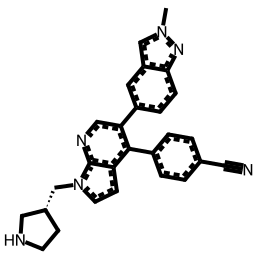 Cn1cc2cc(-c3cnc4c(ccn4C[C@@H]4CCNC4)c3-c3ccc(C#N)cc3)ccc2n1